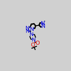 Cn1cc(-c2ccc3nnc(N4CCN(C(=O)OC(C)(C)C)CC4)n3c2)cn1